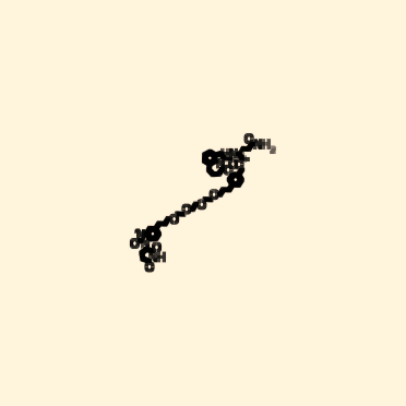 C[C@@H](OCc1ccc(CCCOCCOCCOCCOCCCc2ccc3c(c2)n(C)c(=O)n3C2CCC(=O)NC2=O)cc1)[C@H](CCC(N)=O)NC(=O)[C@@H]1Cc2cccc3c2N1C(=O)CCC3